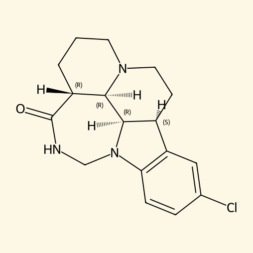 O=C1NCN2c3ccc(Cl)cc3[C@@H]3CCN4CCC[C@@H]1[C@@H]4[C@@H]32